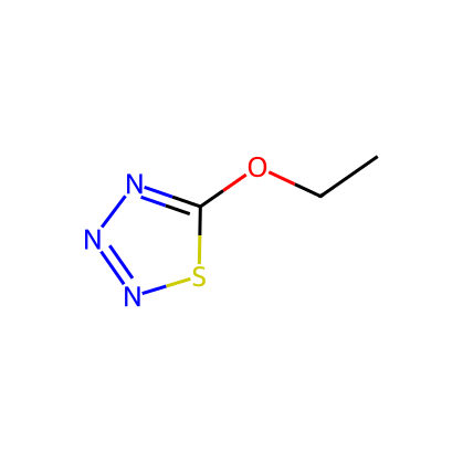 CCOc1nnns1